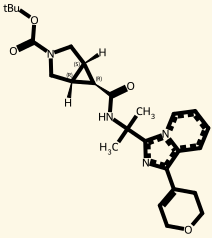 CC(C)(C)OC(=O)N1C[C@@H]2[C@H](C1)[C@H]2C(=O)NC(C)(C)c1nc(C2=CCOCC2)c2ccccn12